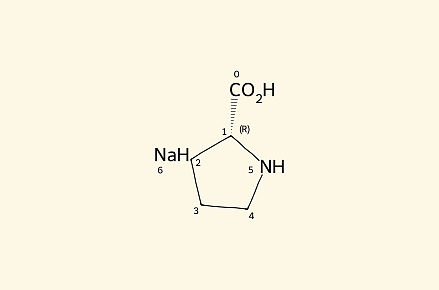 O=C(O)[C@H]1CCCN1.[NaH]